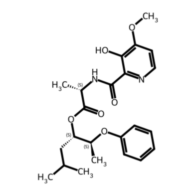 COc1ccnc(C(=O)N[C@@H](C)C(=O)O[C@@H](CC(C)C)[C@H](C)Oc2ccccc2)c1O